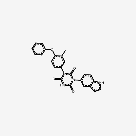 Cc1cc(-n2c(=O)[nH]c(=O)n(-c3ccc4[nH]ccc4c3)c2=O)ccc1Oc1ccccc1